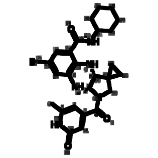 Cc1cc(C(=O)N2C[C@H](Nc3c(N)cc(Br)cc3C(=O)NC3CCCCC3)C3(CC3)C2)cc(=O)[nH]1